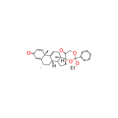 CCOC1(c2ccccc2)OCC(=O)[C@]2(CC[C@H]3[C@@H]4C[C@H](C)C5=CC(=O)C=C[C@]5(C)C4=CC[C@@]32C)O1